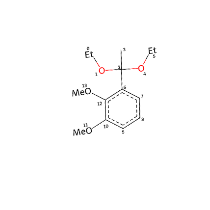 CCOC(C)(OCC)c1cccc(OC)c1OC